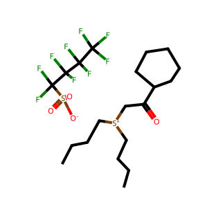 CCCC[S+](CCCC)CC(=O)C1CCCCC1.O=S(=O)([O-])C(F)(F)C(F)(F)C(F)(F)C(F)(F)F